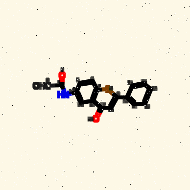 O=CC(=O)Nc1ccc2sc(-c3ccccc3)cc(=O)c2c1